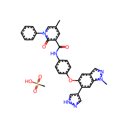 CS(=O)(=O)O.Cc1cc(C(=O)Nc2ccc(Oc3cc4cnn(C)c4cc3-c3cn[nH]c3)cc2)c(=O)n(-c2ccccc2)c1